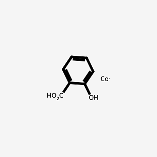 O=C(O)c1ccccc1O.[Co]